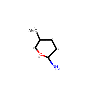 COC1CCC(N)OC1